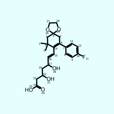 CC1(C)CC2(CC(c3ccc(F)cc3)=C1C=CC(O)CC(O)CC(=O)O)OCCO2